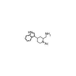 CC(=O)N1CCC(c2c[nH]c3ccccc23)CC1CN